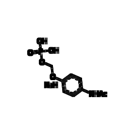 CC(=O)Nc1ccc(OCOP(=O)(O)O)cc1.[NaH]